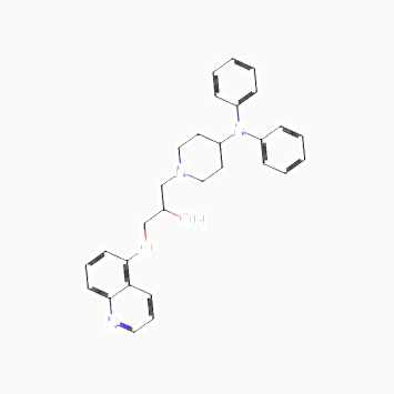 OC(COc1cccc2ncccc12)CN1CCC(N(c2ccccc2)c2ccccc2)CC1